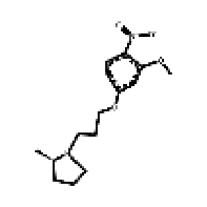 COc1cc(OCCCN2CCC[C@H]2C)ccc1[N+](=O)[O-]